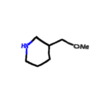 COCC1CCCNC1